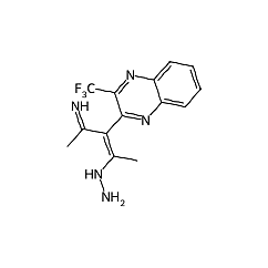 CC(=N)/C(=C(/C)NN)c1nc2ccccc2nc1C(F)(F)F